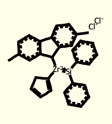 Cc1ccc2c(c1)[CH]([Zr+2]([C]1=CC=CC1)=[Si](c1ccccc1)c1ccccc1)c1cc(C)ccc1-2.[Cl-].[Cl-]